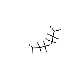 CC(F)C(F)(F)C(F)(F)OC(F)(F)C(F)(F)C(C)F